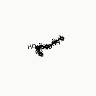 Cc1ccccc1C=CCCC(=O)NCCCOc1ccc(CCC(Nc2ccccc2OC(=O)c2ccccc2)C(=O)O)cc1